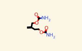 C=C(CCOC(N)=O)COC(N)=O